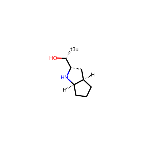 CC(C)(C)[C@@H](O)[C@@H]1C[C@H]2CCC[C@H]2N1